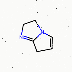 C1=CN2CCN=C2C1